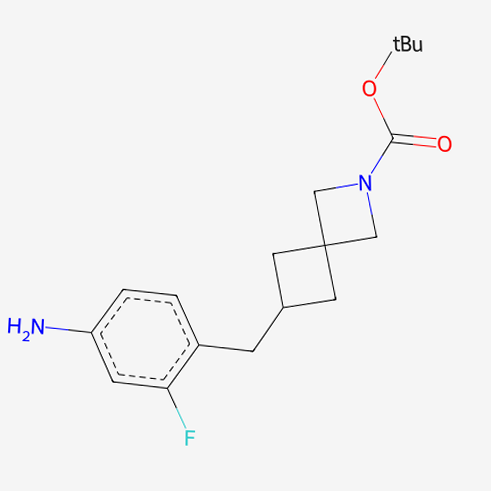 CC(C)(C)OC(=O)N1CC2(CC(Cc3ccc(N)cc3F)C2)C1